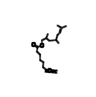 CCCCCCCCCCCCCCCC(=O)OCC(C)CC(C)CC=C(C)C